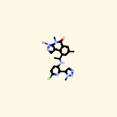 CCn1ncc2c3c(C(C)Nc4ccc(Cl)nc4-c4cnnn4C)cc(C)cc3c(=O)n(C)c21